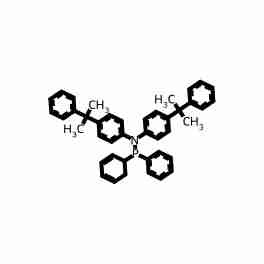 CC(C)(c1ccccc1)c1ccc(N(c2ccc(C(C)(C)c3ccccc3)cc2)P(c2ccccc2)C2C=CC=CC2)cc1